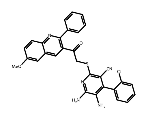 COc1ccc2nc(-c3ccccc3)c(C(=O)CSc3nc(N)c(N)c(-c4ccccc4Cl)c3C#N)cc2c1